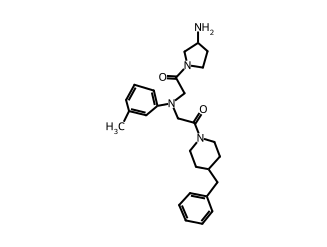 Cc1cccc(N(CC(=O)N2CCC(Cc3ccccc3)CC2)CC(=O)N2CCC(N)C2)c1